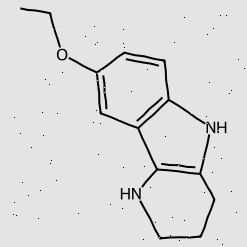 CCOc1ccc2[nH]c3c(c2c1)NCCC3